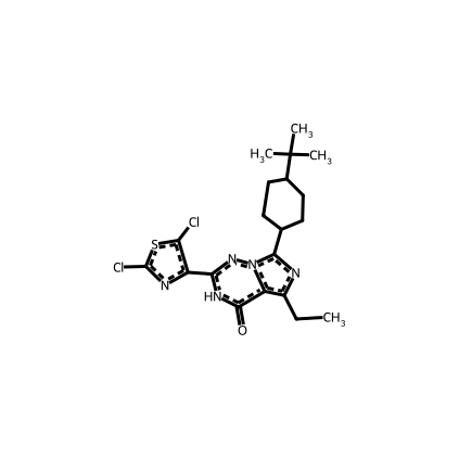 CCc1nc(C2CCC(C(C)(C)C)CC2)n2nc(-c3nc(Cl)sc3Cl)[nH]c(=O)c12